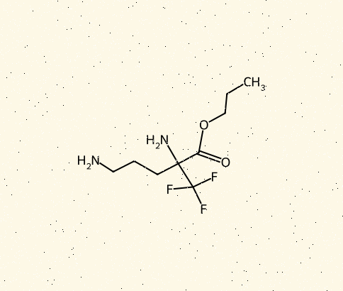 CCCOC(=O)C(N)(CCCN)C(F)(F)F